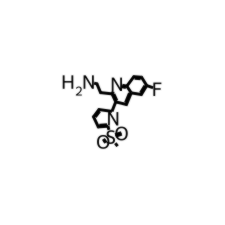 CS(=O)(=O)c1cccc(-c2cc3cc(F)ccc3nc2CCN)n1